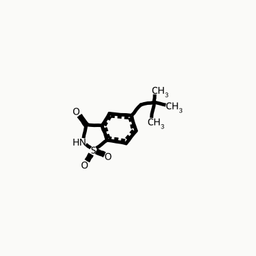 CC(C)(C)Cc1ccc2c(c1)C(=O)NS2(=O)=O